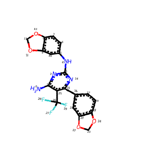 Nc1nc(Nc2ccc3c(c2)OCO3)nc(-c2ccc3c(c2)OCO3)c1C(F)(F)F